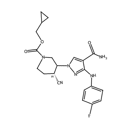 N#C[C@@H]1CCN(C(=O)OCC2CC2)CC1n1cc(C(N)=O)c(Nc2ccc(F)cc2)n1